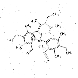 CCc1c(C)cc([Si](C)(c2cc(C)c(CC)c(C)c2C=O)c2cc(C)c(CC)c(C)c2C=O)c(C=O)c1C